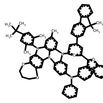 Cc1cc2c3c(c1)N(c1c(C)cc(C(C)(C)C)cc1C)c1cc4c(cc1B3c1ccc(N(c3ccccc3)c3ccccc3)cc1N2c1cc(-c2ccc3c(c2)C(C)(C)c2ccccc2-3)cc(-c2cc3ccccc3o2)c1)OCCCO4